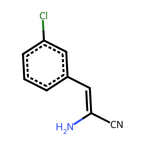 N#CC(N)=Cc1cccc(Cl)c1